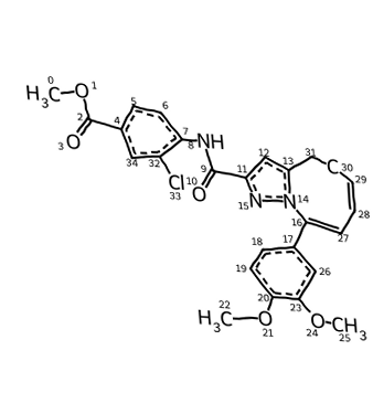 COC(=O)c1ccc(NC(=O)c2cc3n(n2)/C(c2ccc(OC)c(OC)c2)=C\C=C/CC3)c(Cl)c1